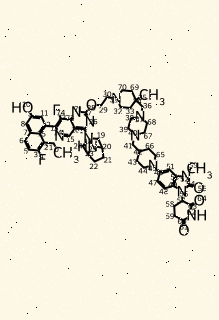 CCc1c(F)ccc2cc(O)cc(-c3ncc4c(N5CC6CCC(C5)N6)nc(OCCN5CCC(C)(CN6CCN(CC7CCN(c8ccc9c(c8)n(C)c(=O)n9C8CCC(=O)NC8=O)CC7)CC6)CC5)nc4c3F)c12